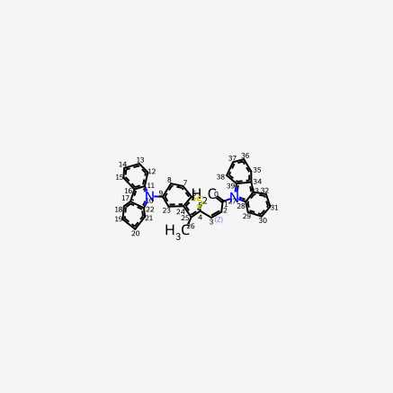 C=C(/C=C\c1sc2ccc(-n3c4ccccc4c4ccccc43)cc2c1C)n1c2ccccc2c2ccccc21